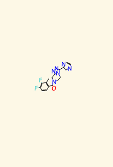 Cc1c(C(=O)N2CCn3c(nnc3-c3cnccn3)C2)ccc(F)c1F